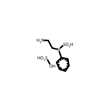 NCCN(c1ccccc1)S(=O)(=O)O.O=S(=O)(O)O